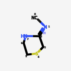 N#C/N=C1/CSCCN1